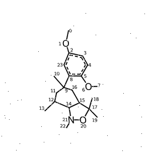 COc1ccc(OC)c(C2(C)CC(C)C3C(C2)C(C)(C)ON3C)c1